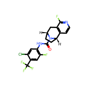 O=C(Nc1cc(Cl)c(C(F)(F)F)cc1F)N1[C@@H]2CC[C@H]1c1ccnc(F)c1C2